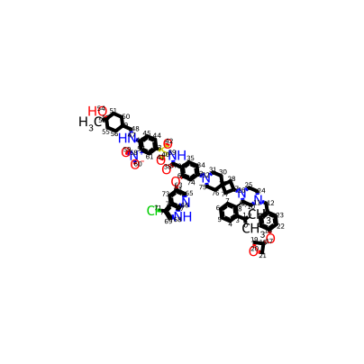 CC(C)c1ccccc1[C@@H]1CN(Cc2ccc(OC3COC3)cc2)CCN1C1CC2(CCN(c3ccc(C(=O)NS(=O)(=O)c4ccc(NCC5CCC(C)(O)CC5)c([N+](=O)[O-])c4)c(Oc4cnc5[nH]cc(Cl)c5c4)c3)CC2)C1